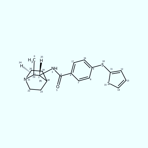 C[C@H]1[C@H](NC(=O)c2ccc(Sc3cccs3)cc2)C2CCN1CC2